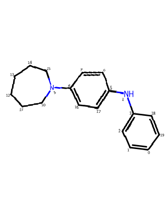 c1ccc(Nc2ccc(N3CCCCCC3)cc2)cc1